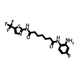 Nc1cc(F)ccc1NC(=O)CCCCCC(=O)Nc1ncc(C(F)(F)F)s1